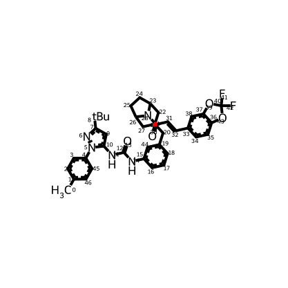 Cc1ccc(-n2nc(C(C)(C)C)cc2NC(=O)Nc2cccc(CC3CC4CCC(C3)N4C(=O)C=Cc3ccc4c(c3)OC(F)(F)O4)c2)cc1